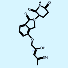 CC(=N)/C=C(\O)COc1cccc2c1CN(C1CCC(=O)NC1=O)C2=O